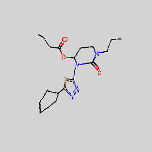 CCCC(=O)OC1CCN(CCC)C(=O)N1c1nnc(C2CCCC2)s1